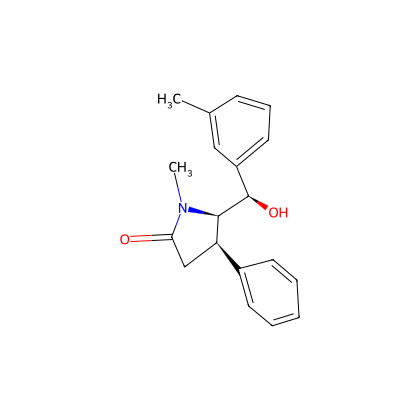 Cc1cccc([C@@H](O)[C@H]2[C@@H](c3ccccc3)CC(=O)N2C)c1